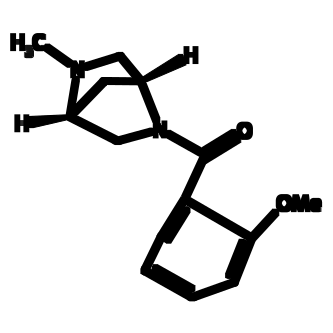 COc1ccccc1C(=O)N1C[C@H]2C[C@@H]1CN2C